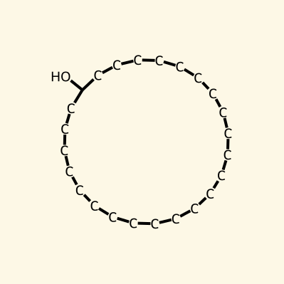 OC1CCCCCCCCCCCCCCCCCCCCCCC1